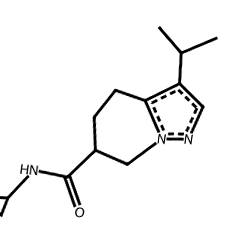 CC(C)c1cnn2c1CCC(C(=O)NC1CC1)C2